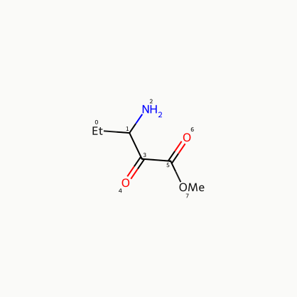 CCC(N)C(=O)C(=O)OC